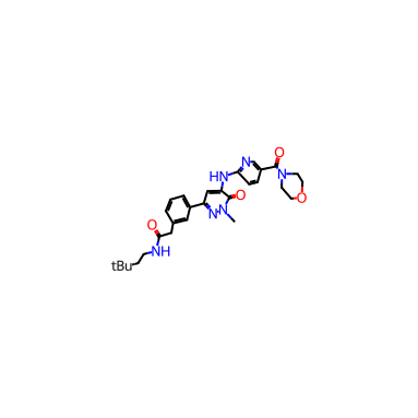 Cn1nc(-c2cccc(CC(=O)NCCC(C)(C)C)c2)cc(Nc2ccc(C(=O)N3CCOCC3)cn2)c1=O